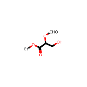 CCOC(=O)C(CO)OC=O